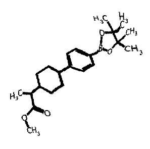 COC(=O)C(C)C1CCC(c2ccc(B3OC(C)(C)C(C)(C)O3)cc2)CC1